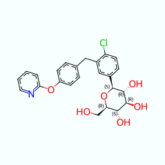 OC[C@H]1O[C@@H](c2ccc(Cl)c(Cc3ccc(Oc4ccccn4)cc3)c2)[C@H](O)[C@@H](O)[C@@H]1O